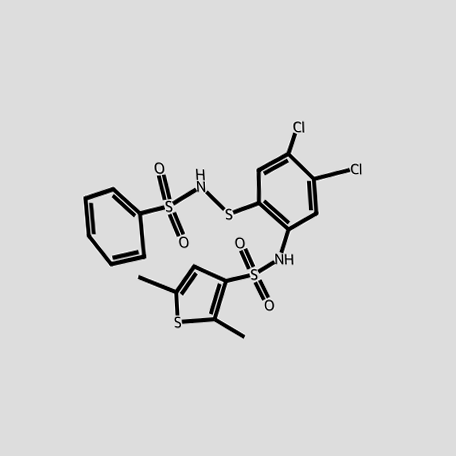 Cc1cc(S(=O)(=O)Nc2cc(Cl)c(Cl)cc2SNS(=O)(=O)c2ccccc2)c(C)s1